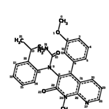 COc1cccc(-c2c(N(C(N)=O)c3ccccc3C(C)C)c(=O)n(C)c3ncccc23)c1